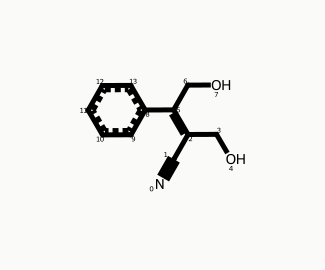 N#C/C(CO)=C(/CO)c1ccccc1